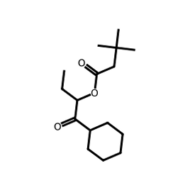 CCC(OC(=O)CC(C)(C)C)C(=O)C1CCCCC1